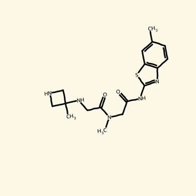 Cc1ccc2nc(NC(=O)CN(C)C(=O)CNC3(C)CNC3)sc2c1